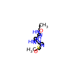 CCCCC(=O)Nc1cncc(-c2ccc3[nH]nc(-c4cc5c(-c6ccc(C(C)=O)s6)nccc5[nH]4)c3n2)c1